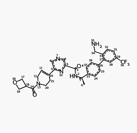 C[C@@H](NC(=O)c1cncc(C2=CCN(C(=O)C3COC3)CC2)n1)c1ccc(-c2cc(C(F)(F)F)ccc2CN)cc1